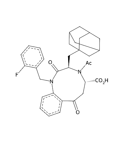 CC(=O)N1[C@H](CC23CC4CC(CC(C4)C2)C3)C(=O)N(Cc2ccccc2F)c2ccccc2C(=O)C[C@H]1C(=O)O